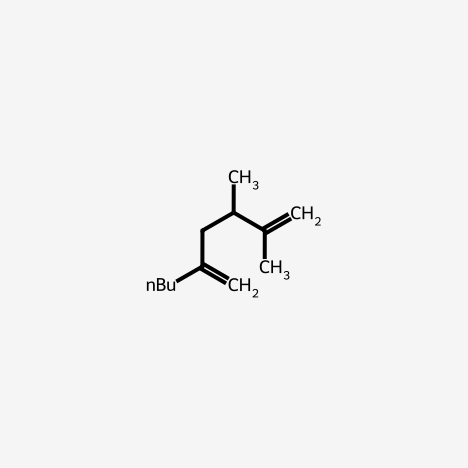 C=C(CCCC)CC(C)C(=C)C